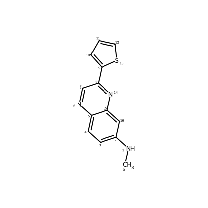 CNc1ccc2n[c]c(-c3cccs3)nc2c1